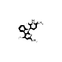 C=C1CCC(n2c3ccccc3c3c(C(C)C)cc(N)nc32)C(=O)N1